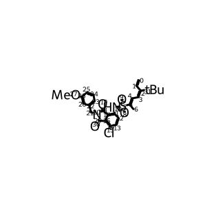 C=C/C(=C\C=C(/C)S(=O)(=O)Nc1ccc(Cl)c2c1C(=O)N(Cc1cccc(OC)c1)C2=O)C(C)(C)C